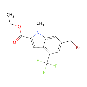 CCOC(=O)c1cc2c(C(F)(F)F)cc(CBr)cc2n1C